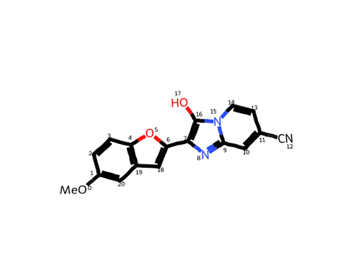 COc1ccc2oc(-c3nc4cc(C#N)ccn4c3O)cc2c1